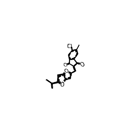 Cc1cc2c(cc1Cl)C(=O)/C(=C\c1cc3oc(C(C)C)cc3o1)C2=O